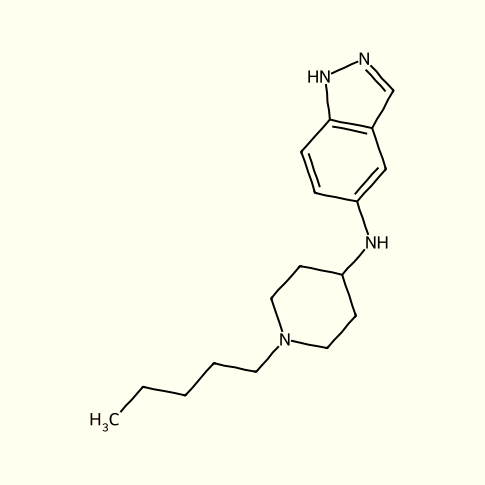 CCCCCN1CCC(Nc2ccc3[nH]ncc3c2)CC1